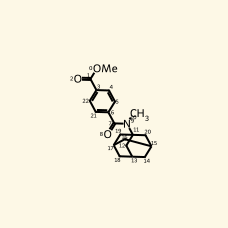 COC(=O)c1ccc(C(=O)N(C)C23CC4CC(CC(C4)C2)C3)cc1